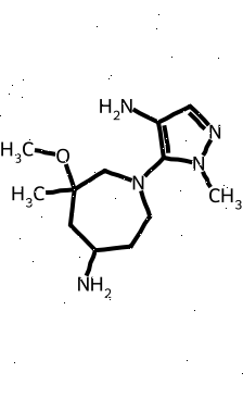 COC1(C)CC(N)CCN(c2c(N)cnn2C)C1